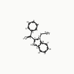 CC(C)Cn1c(C(=O)c2ccccc2)nc2ccccc21